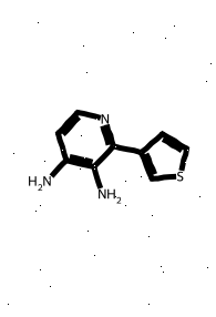 Nc1ccnc(-c2ccsc2)c1N